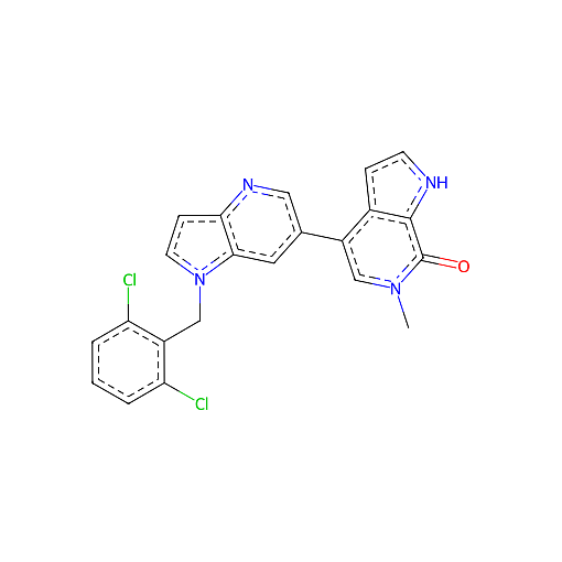 Cn1cc(-c2cnc3ccn(Cc4c(Cl)cccc4Cl)c3c2)c2cc[nH]c2c1=O